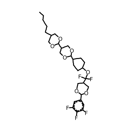 CCCCCC1COC(C2COC(C3CCC(OC(F)(F)C4COC(c5cc(F)c(F)c(F)c5)OC4)CC3)OC2)OC1